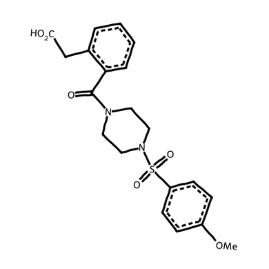 COc1ccc(S(=O)(=O)N2CCN(C(=O)c3ccccc3CC(=O)O)CC2)cc1